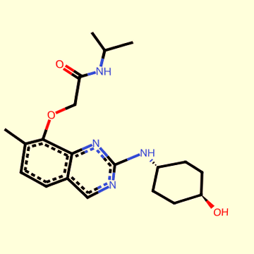 Cc1ccc2cnc(N[C@H]3CC[C@H](O)CC3)nc2c1OCC(=O)NC(C)C